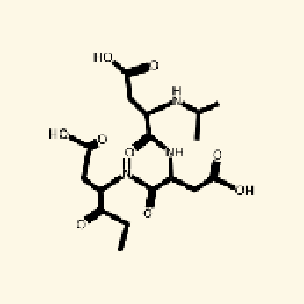 CCC(=O)C(CC(=O)O)NC(=O)C(CC(=O)O)NC(=O)C(CC(=O)O)NC(C)C